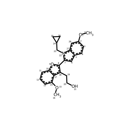 COc1ccc2cc(-c3oc4cccc(OC)c4c3CCO)n(CC3CC3)c2c1